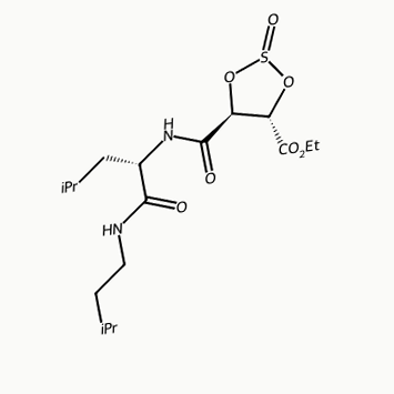 CCOC(=O)[C@H]1OS(=O)O[C@@H]1C(=O)N[C@@H](CC(C)C)C(=O)NCCC(C)C